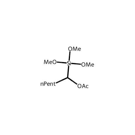 CCCCCC(OC(C)=O)[Si](OC)(OC)OC